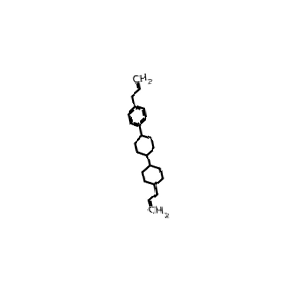 C=CCc1ccc(C2CCC(C3CCC(CC=C)CC3)CC2)cc1